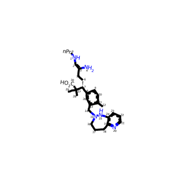 CCCN/C=C(\N)CC[C@H](c1ccc(C)c(CN2CCCc3ncccc3N2)c1)C(C)(C)C(=O)O